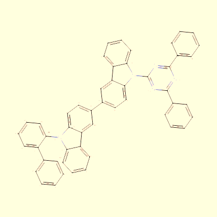 c1ccc(-c2nc(-c3ccccc3)nc(-n3c4ccccc4c4cc(-c5ccc6c(c5)c5ccccc5n6-c5ccccc5-c5ccccc5)ccc43)n2)cc1